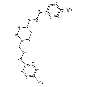 Cc1ccc(SOCC2CCC(COSc3ccc(C)cc3)CC2)cc1